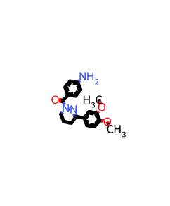 COc1ccc(C2=NN(C(=O)c3ccc(N)cc3)CCC2)cc1OC